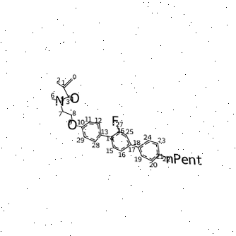 C=C(C)C(=O)N(C)CCOc1ccc(-c2ccc(-c3ccc(CCCCC)cc3)cc2F)cc1